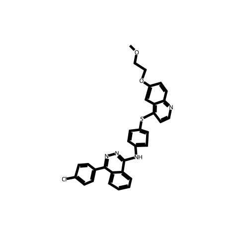 COCCOc1ccc2nccc(Sc3ccc(Nc4nnc(-c5ccc(Cl)cc5)c5ccccc45)cc3)c2c1